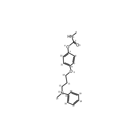 CNC(=O)Oc1ccc(OCCCN(C)c2ccccc2)cc1